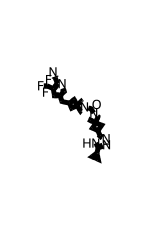 N#Cc1ncc(CC2CC3(C2)CN(C(=O)N2CC4(CC(c5nnc(C6CC6)[nH]5)C4)C2)C3)cc1C(F)(F)F